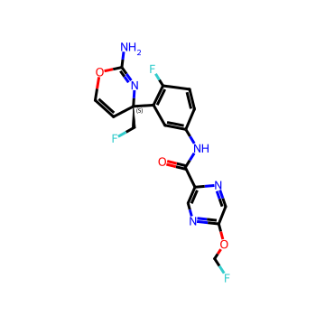 NC1=N[C@](CF)(c2cc(NC(=O)c3cnc(OCF)cn3)ccc2F)C=CO1